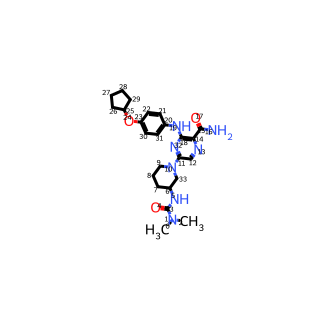 CN(C)C(=O)NC1CCCN(c2cnc(C(N)=O)c(Nc3ccc(OC4CCCC4)cc3)n2)C1